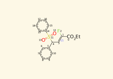 CCOC(=O)/C(F)=C/C(c1ccccc1)S(=O)(=O)c1ccccc1